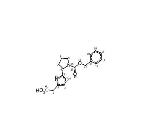 O=C(O)Cc1coc(C2CCCN2C(=O)OCc2ccccc2)n1